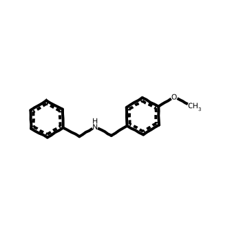 COc1ccc(CNCc2c[c]ccc2)cc1